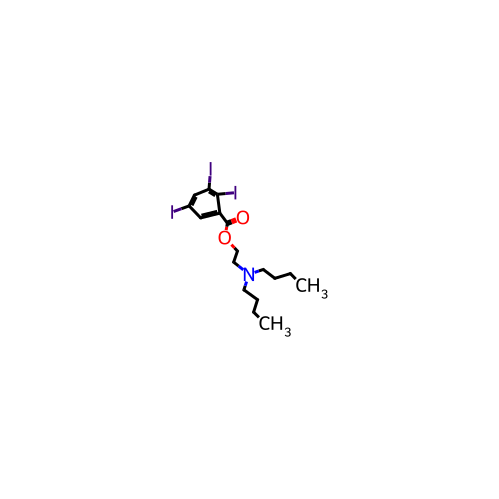 CCCCN(CCCC)CCOC(=O)c1cc(I)cc(I)c1I